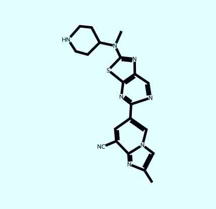 Cc1cn2cc(-c3ncc4nc(N(C)C5CCNCC5)sc4n3)cc(C#N)c2n1